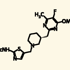 COc1nc(C[C@H]2CCCN(Cc3cnc(NC(C)=O)s3)C2)nc(C)c1F